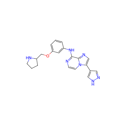 c1cc(Nc2nccn3c(-c4cn[nH]c4)cnc23)cc(OCC2CCCN2)c1